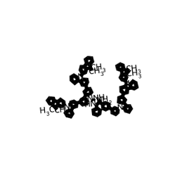 CC1(C)c2ccccc2-c2ccc(-n3c4ccccc4c4cc(-c5ccc6c(c5)c5cc(-c7ccc8c(c7)c7ccccc7n8-c7ccc8c(c7)C(C)(C)c7ccccc7-8)ccc5n6C(=N)NC(c5ccccc5)C(N)c5ccc(-c6cccc(-n7c8ccccc8c8cc(-c9ccc%10c(c9)c9ccccc9n%10-c9ccc%10c(c9)C(C)(C)c9ccccc9-%10)ccc87)c6)cc5)ccc43)cc21